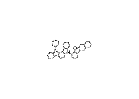 c1ccc(-n2c3ccccc3c3ccc4c(c5ccccc5n4-c4cccc5c4oc4cc6ccccc6cc45)c32)cc1